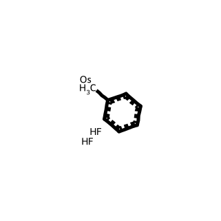 Cc1ccccc1.F.F.[Os]